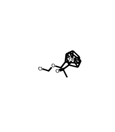 CC(=O)[C]12[CH]3[CH]4[CH]5[CH]1[Fe]45321678[CH]2[CH]1[CH]6[C]7(COCCl)[CH]28